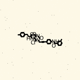 Cc1ccc(CCC(=O)Nc2c(Cl)n(CC#Cc3ccc(NC(=O)c4cccc(C)c4)cc3)c(=O)n(C)c2=O)cc1